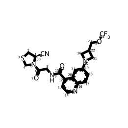 N#C[C@@H]1CSCN1C(=O)CNC(=O)c1ccnc2ccc(N3CC(COC(F)(F)F)C3)cc12